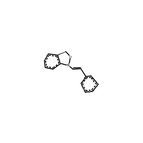 C(=Cc1ccccc1)B1OCc2ccccc21